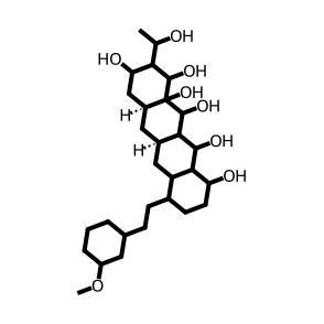 COC1CCCC(CCC2CCC(O)C3C(O)C4C(O)C5(O)C(O)C(C(C)O)C(O)C[C@@H]5C[C@@H]4CC23)C1